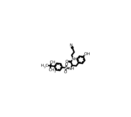 CC(C)(C)c1ccc(S(=O)(=O)NC(Cc2ccc(O)cc2)C(=O)NCCC#N)cc1